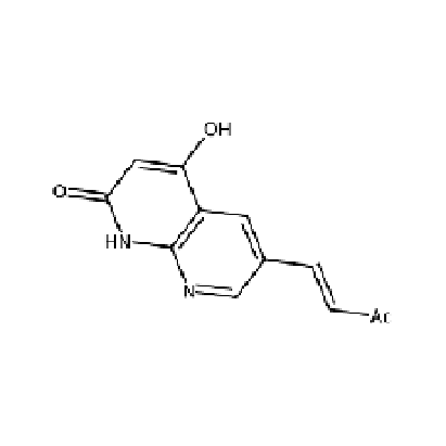 CC(=O)/C=C/c1cnc2[nH]c(=O)cc(O)c2c1